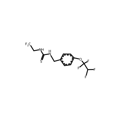 FC(F)C(F)(F)Oc1ccc(CNC(=S)NCC(F)(F)F)cc1